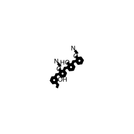 CCc1cccc(Cc2cccc(Cc3cccc(Cc4ccccc4OCC#N)c3O)c2OCC#N)c1O